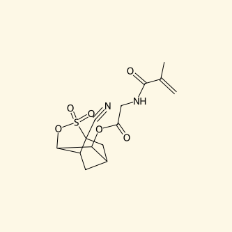 C=C(C)C(=O)NCC(=O)OC1C2CC3C1OS(=O)(=O)C3(C#N)C2